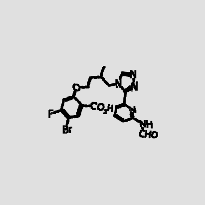 CC(CCOc1cc(F)c(Br)cc1C(=O)O)Cn1cnnc1-c1cccc(NC=O)n1